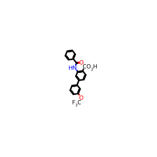 O=C(Nc1cc(-c2cccc(OC(F)(F)F)c2)ccc1C(=O)O)c1ccccc1